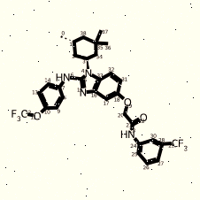 C[C@H]1C[C@H](n2c(Nc3ccc(OC(F)(F)F)cc3)nc3cc(OCC(=O)Nc4cccc(C(F)(F)F)c4)ccc32)CC(C)(C)C1